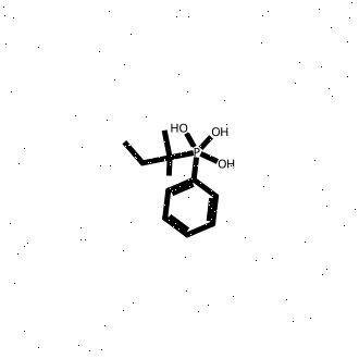 CCC(C)(C)P(O)(O)(O)c1ccccc1